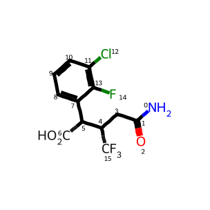 NC(=O)CC(C(C(=O)O)c1cccc(Cl)c1F)C(F)(F)F